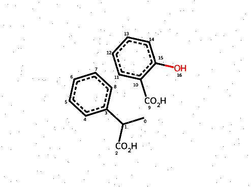 CC(C(=O)O)c1ccccc1.O=C(O)c1ccccc1O